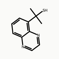 CC(C)(S)c1cccc2nccnc12